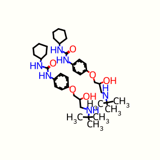 CC(C)(C)NCC(O)COc1ccc(NC(=O)NC2CCCCC2)cc1.CC(C)(C)NCC(O)COc1ccc(NC(=O)NC2CCCCC2)cc1